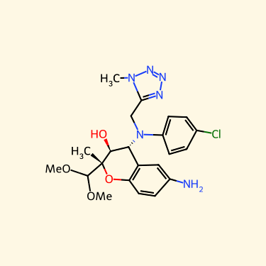 COC(OC)[C@@]1(C)Oc2ccc(N)cc2[C@@H](N(Cc2nnnn2C)c2ccc(Cl)cc2)[C@@H]1O